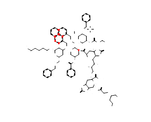 COC(=O)[C@@]1(OC[C@@H](O)[C@@H](O)[C@@H]2O[C@@](O[C@H]3[C@@H](O[C@@H]4O[C@H](COC(C)=O)[C@H](OCc5ccccc5)[C@H](O[Si](C)(C)C(C)(C)C)[C@H]4NC(=O)OCC(Cl)(Cl)Cl)[C@@H](COCc4ccccc4)O[C@@H](O[C@H]4C(OCc5ccccc5)[C@@H](OCc5ccccc5)[C@H](OCCCCCCl)O[C@@H]4COCc4ccccc4)[C@@H]3OC(=O)c3ccccc3)(C(=O)OC)C[C@@H]3OC(=O)N[C@@H]23)C[C@@H]2OC(=O)N[C@H]2[C@@H](OC(=O)CC[C@@H](CCC(=O)O)CC(=O)O)O1